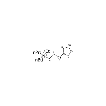 CCCC[N+](CC)(CCC)CCOC1CCCC1